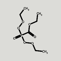 CCOOP(=O)(OOCC)C(=O)OCC